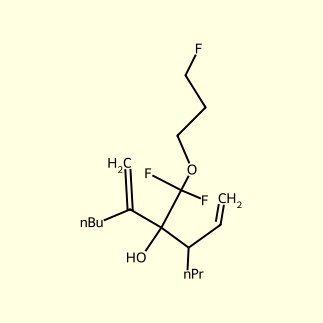 C=CC(CCC)C(O)(C(=C)CCCC)C(F)(F)OCCCF